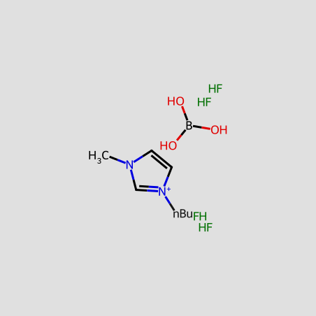 CCCC[n+]1ccn(C)c1.F.F.F.F.OB(O)O